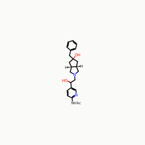 CC(=O)Nc1ccc(C(O)CN2C[C@@H]3C[C@](O)(Cc4ccccc4)C[C@@H]3C2)cn1